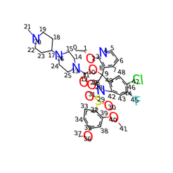 CCOc1ncccc1C1(OC(=O)N2CCN(C3CCN(C)CC3)CC2)C(=O)N(S(=O)(=O)c2ccc(OC)cc2OC)c2cc(F)c(Cl)cc21